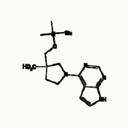 CC(C)(C)[Si](C)(C)OCC1(C(=O)O)CCN(c2ncnc3[nH]ccc23)C1